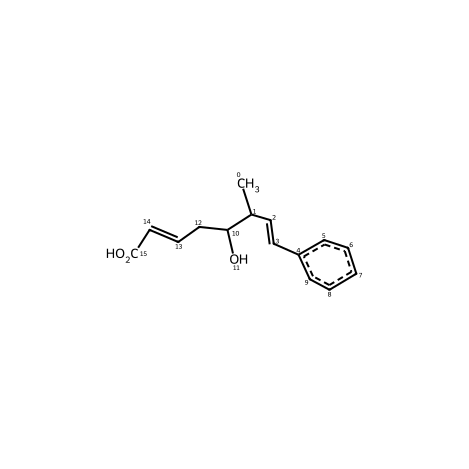 CC(C=Cc1ccccc1)C(O)CC=CC(=O)O